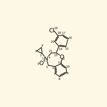 [O-][N+]1(C2CC2)Cc2ccccc2OC(c2cccc(Cl)c2)C1